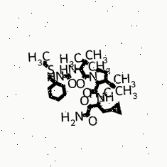 CCSCC1(NC(=O)N[C@H](C(=O)N2CCC(C(C)(C)C)C2C(=O)NC(CC2CC2)C(=O)C(N)=O)C(C)(C)C)CCCCC1